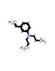 C=Cc1cccc(N(CCC)CCC)c1